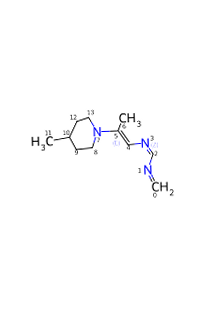 C=N/C=N\C=C(/C)N1CCC(C)CC1